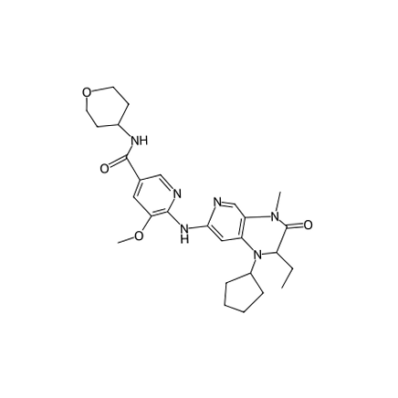 CCC1C(=O)N(C)c2cnc(Nc3ncc(C(=O)NC4CCOCC4)cc3OC)cc2N1C1CCCC1